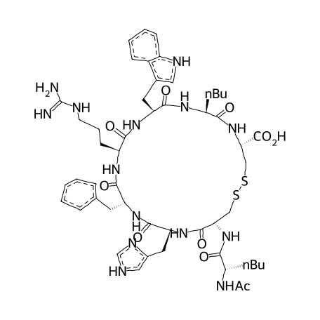 CCCC[C@H](NC(C)=O)C(=O)N[C@H]1CSSC[C@@H](C(=O)O)NC(=O)[C@H](CCCC)NC(=O)[C@H](Cc2c[nH]c3ccccc23)NC(=O)[C@H](CCCNC(=N)N)NC(=O)[C@@H](Cc2ccccc2)NC(=O)[C@H](Cc2c[nH]cn2)NC1=O